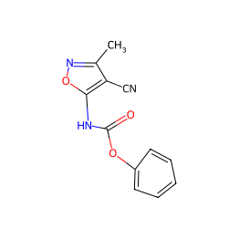 Cc1noc(NC(=O)Oc2ccccc2)c1C#N